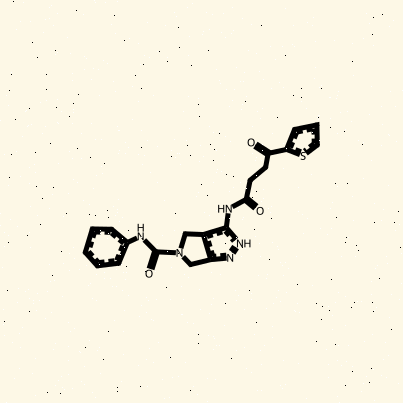 O=C(CCC(=O)c1cccs1)Nc1[nH]nc2c1CN(C(=O)Nc1ccccc1)C2